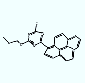 CCCOc1nc(Cl)nc(-c2ccc3ccc4cccc5ccc2c3c45)n1